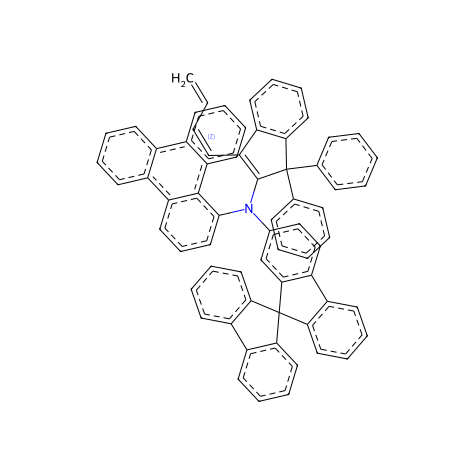 C=C/C=C\C1=C(N(c2ccc3c(c2)C2(c4ccccc4-c4ccccc42)c2ccccc2-3)c2cccc3c4ccccc4c4ccccc4c23)C(c2ccccc2)(c2ccccc2)c2ccccc21